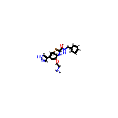 CN(C)CCOC1=CC(c2cn[nH]c2)=CC2SC(C(=O)NCc3ccccc3)=NC12